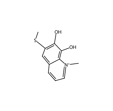 CSc1cc2ccc[n+](C)c2c(O)c1O